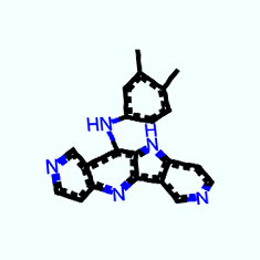 Cc1ccc(Nc2c3cnccc3nc3c2[nH]c2ccncc23)cc1C